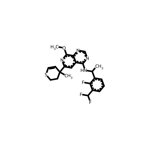 COc1nc(C2(C)C=CSCC2)cc2c(NC(C)c3cccc(C(F)F)c3F)ncnc12